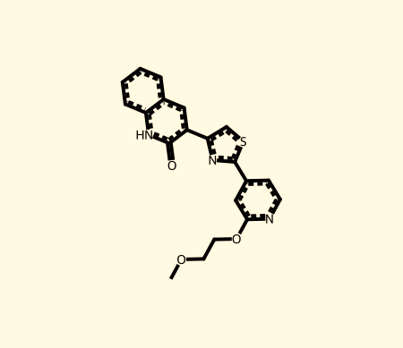 COCCOc1cc(-c2nc(-c3cc4ccccc4[nH]c3=O)cs2)ccn1